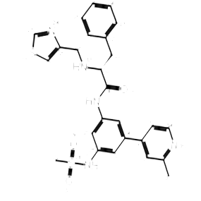 Cc1cc(-c2cc(NC(=O)[C@H](Cc3ccccc3)NCc3cscn3)cc(NS(C)(=O)=O)c2)ccn1